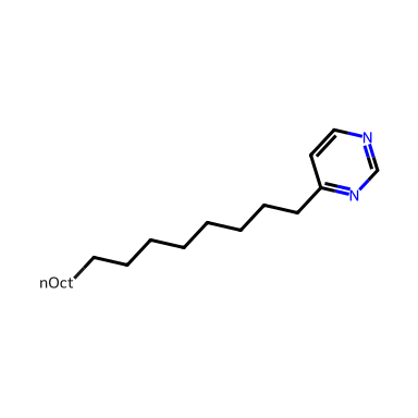 CCCCCCCCCCCCCCCCc1ccncn1